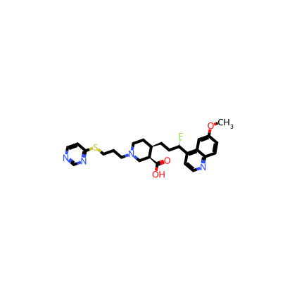 COc1ccc2nccc([C@@H](F)CC[C@@H]3CCN(CCCSc4ccncn4)C[C@@H]3C(=O)O)c2c1